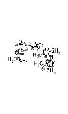 CC(=O)O[C@@H](C)/C=C\C(=O)N[C@@H]1C[C@H](C)[C@H](C/C=C(C)/C=C/[C@@H]2C[C@]3(CO3)C[C@@H](CC(=O)N(C)C)O2)O[C@@H]1C